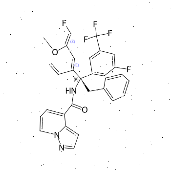 C=C/C(=C\C(=C\F)OC)[C@@](Cc1ccccc1)(NC(=O)c1cccn2nccc12)c1cc(F)cc(C(F)(F)F)c1